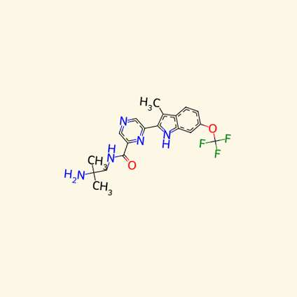 Cc1c(-c2cncc(C(=O)NCC(C)(C)N)n2)[nH]c2cc(OC(F)(F)F)ccc12